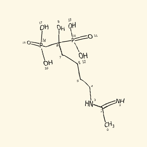 CC(=N)NCCCCC(O)(P(=O)(O)O)P(=O)(O)O